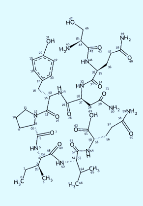 CC[C@H](C)[C@H](NC(=O)[C@@H]1CCCN1C(=O)[C@H](Cc1ccc(O)cc1)NC(=O)[C@H](CC(N)=O)NC(=O)[C@H](CCC(N)=O)NC(=O)[C@@H](N)CO)C(=O)N[C@H](C(=O)N[C@@H](CCC(N)=O)C(=O)O)C(C)C